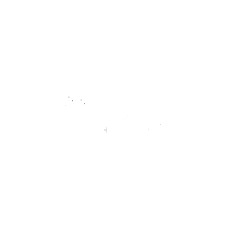 Cc1c(O)c2c(c[n+]1N)COC2OC1CC(C)C(C)(C)C1(C)C